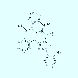 CC(C)[C@H](c1nc(-c2ccccc2C(F)(F)F)cn1Cc1ccccc1)N(CCCN)C(=O)c1ccccc1